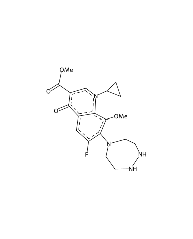 COC(=O)c1cn(C2CC2)c2c(OC)c(N3CCNNCC3)c(F)cc2c1=O